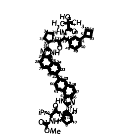 COC(=O)N[C@H](C(=O)N1[C@@H]2CC[C@@H](C2)[C@H]1c1nc2ccc3cc(-c4ccc5c(ccc6nc([C@@H]7CCCN7C(=O)[C@H](NC(=O)C(C)(C)O)c7cccc(C8CCC8)c7)[nH]c65)c4)ccc3c2[nH]1)C(C)C